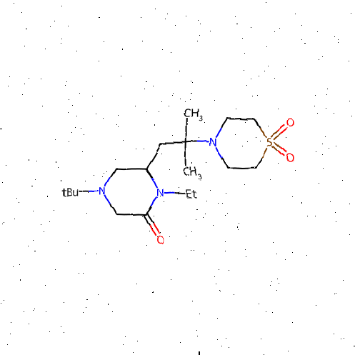 CCN1C(=O)CN(C(C)(C)C)CC1CC(C)(C)N1CCS(=O)(=O)CC1